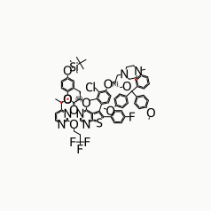 CCOC(=O)[C@@H](Cc1cc(O[Si](C)(C)C(C)(C)C)ccc1OCc1ccnc(OCCC(F)(F)F)n1)Oc1ncnc2sc(-c3ccc(F)cc3)c(-c3ccc(O[C@@H](COC(c4ccccc4)(c4ccc(OC)cc4)c4ccc(OC)cc4)CN4CCN(C)CC4)c(Cl)c3C)c12